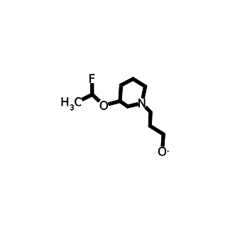 CC(F)OC1CCCN(CCC[O])C1